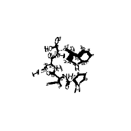 CC(C)[C@H](NC(=O)[C@@H]1CCCN1)C(=O)N[C@@H](CS)C(=O)N[C@@H](Cc1c[nH]c2ccccc12)C(=O)O